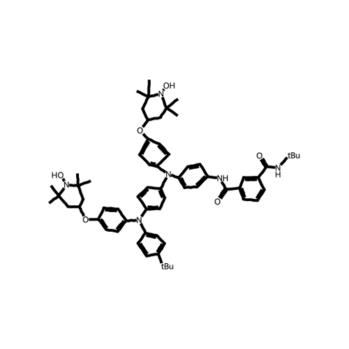 CC(C)(C)NC(=O)c1cccc(C(=O)Nc2ccc(N(c3ccc(OC4CC(C)(C)N(O)C(C)(C)C4)cc3)c3ccc(N(c4ccc(OC5CC(C)(C)N(O)C(C)(C)C5)cc4)c4ccc(C(C)(C)C)cc4)cc3)cc2)c1